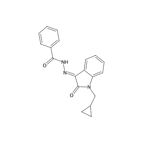 O=C(N/N=C1/C(=O)N(CC2CC2)c2ccccc21)c1ccccc1